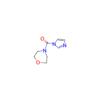 O=C(N1CCOCC1)n1ccnc1